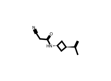 C=C(C)[C@H]1C[C@H](NC(=O)CC#N)C1